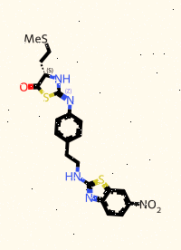 CSCC[C@@H]1N/C(=N/c2ccc(CCNc3nc4ccc([N+](=O)[O-])cc4s3)cc2)SC1=O